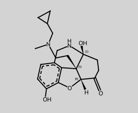 CN(CC[C@]12c3c4ccc(O)c3O[C@H]1C(=O)CC[C@@]2(O)NC4)CC1CC1